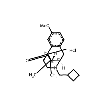 COc1ccc2c(c1)[C@]13CCN(CC4CCC4)[C@H](C2)[C@@H]1C(C)C(C)C(=O)C3.Cl